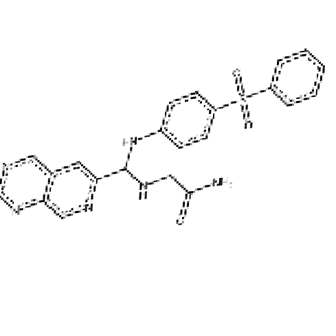 NC(=O)CNC(Nc1ccc(S(=O)(=O)c2ccccc2)cc1)c1cc2cncnc2cn1